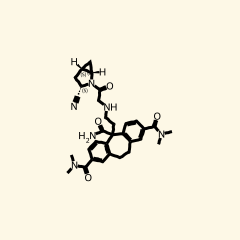 CN(C)C(=O)c1ccc2c(c1)CCc1cc(C(=O)N(C)C)ccc1C2(CCNCC(=O)N1[C@H](C#N)C[C@@H]2C[C@@H]21)C(N)=O